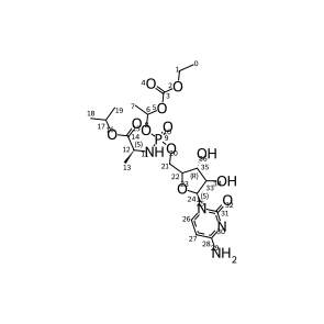 CCOC(=O)OC(C)OP(=O)(N[C@@H](C)C(=O)OC(C)C)OCC1O[C@H](n2ccc(N)nc2=O)C(O)[C@H]1O